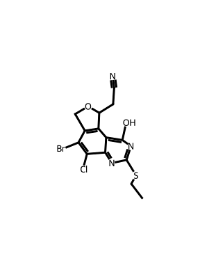 CCSc1nc(O)c2c3c(c(Br)c(Cl)c2n1)COC3CC#N